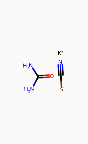 N#C[S-].NC(N)=O.[K+]